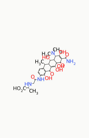 CC1c2ccc(NC(=O)CN[C@@H](C)C(=O)O)c(O)c2C(=O)C2=C(O)C3(O)C(=O)C(C(N)=O)=C(O)C(N(C)C)C3C(O)C21